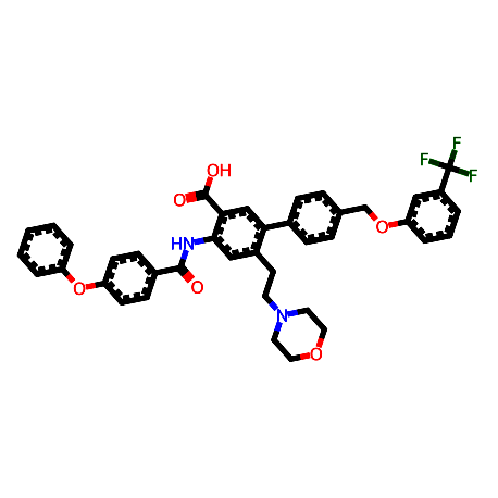 O=C(Nc1cc(CCN2CCOCC2)c(-c2ccc(COc3cccc(C(F)(F)F)c3)cc2)cc1C(=O)O)c1ccc(Oc2ccccc2)cc1